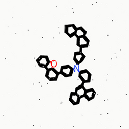 c1cc(-c2cc3ccccc3c3ccccc23)cc(N(c2ccc(-c3ccc4ccc5ccccc5c4c3)cc2)c2ccc(-c3cccc4c3oc3ccccc34)cc2)c1